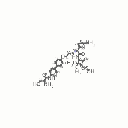 CC1(C)C(NC(=O)/C(=N\OCCOc2ccc(-c3ccc(NC(=O)C(N)CO)nc3)cc2)c2csc(N)n2)C(=O)N1OSO